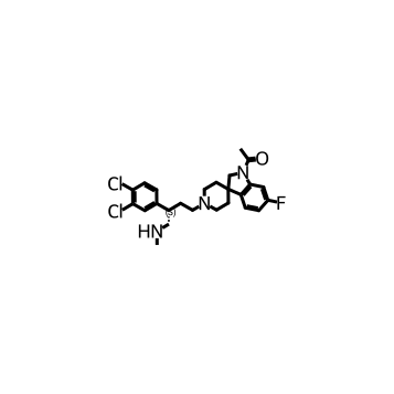 CNC[C@@H](CCN1CCC2(CC1)CN(C(C)=O)c1cc(F)ccc12)c1ccc(Cl)c(Cl)c1